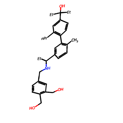 CCCc1cc(C(O)(CC)CC)ccc1-c1cc(C(CC)NCc2ccc(CO)c(CO)c2)ccc1C